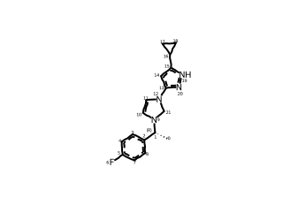 C[C@H](c1ccc(F)cc1)N1C=CN(c2cc(C3CC3)[nH]n2)C1